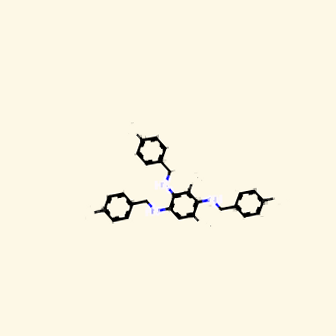 N#Cc1cc(NCc2ccc(C(F)(F)F)cc2)c(NCc2ccc(C(F)(F)F)cc2)c(C#N)c1NCc1ccc(C(F)(F)F)cc1